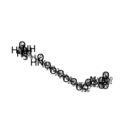 O=C(CCCC[C@@H]1SC[C@@H]2NC(=O)N[C@@H]21)NCCOCCOCCOCCOCCOCCOc1cccc(Oc2ccc(C(=O)ON3C(=O)CCC3=O)cn2)c1